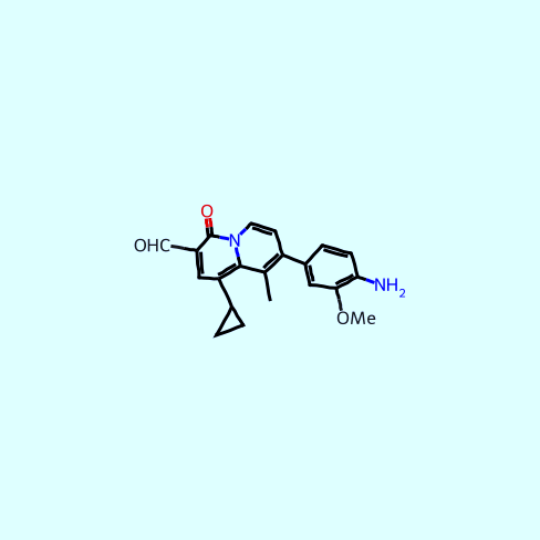 COc1cc(-c2ccn3c(=O)c(C=O)cc(C4CC4)c3c2C)ccc1N